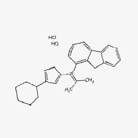 C[C](C)=[Zr]([C]1=CC(C2CCCCC2)=CC1)[c]1cccc2c1Cc1ccccc1-2.Cl.Cl